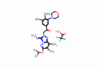 CCC(CC)Oc1nn2c(=NC)n(CC(=O)c3cc(N4CCOCC4)c(OC)c(C(C)(C)C)c3)nc2c(C)c1C.O=C(O)C(F)(F)F